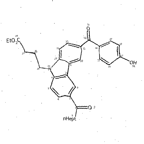 CCCCCCCC(=O)c1ccc2c(c1)c1cc(C(=O)c3ccc(O)cc3)ccc1n2CCCC(=O)OCC